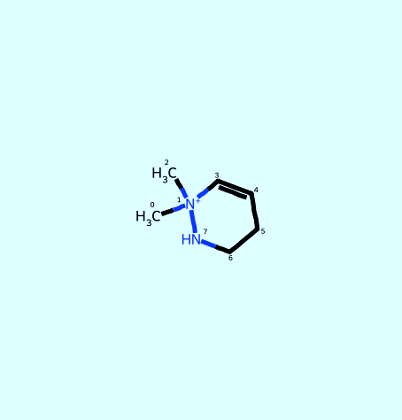 C[N+]1(C)C=CCCN1